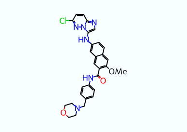 COc1cc2ccc(Nc3cnc4ccc(Cl)nn34)cc2cc1C(=O)Nc1ccc(CN2CCOCC2)cc1